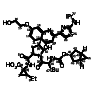 CCC1C[C@]1(NC(=O)C1C[C@@H](C23CC=C(OCCO)C=C2N=C(c2csc(NC(C)C)n2)C=C3O)CN1C(=O)C(NC(=O)O[C@@H]1C[C@@H]2C[C@@H]2C1)C(C)(C)C)C(=O)O